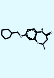 C[C@@H]1CC(=O)Nc2ccc(OCC3CCCCC3)cc2O1